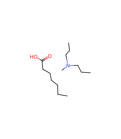 CCCCCCC(=O)O.CCCN(C)CCC